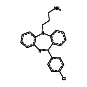 NCCCN1c2ccccc2N=C(c2ccc(Cl)cc2)c2ccccc21